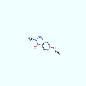 COc1ccc(C(=O)N(C)N)cc1